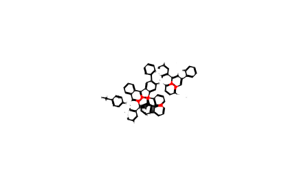 Cc1cnc(N(c2ccc(C(C)(C)I)cc2)c2cc3c(c4ccccc24)-c2c(cc(N(c4ccc(C(C)(C)C)cc4)c4ncc(C)cc4-c4cccc5c4oc4ccccc45)c4c2oc2ccccc24)C3(c2ccccc2)c2ccccc2)c(-c2cccc3c2oc2ccccc23)c1